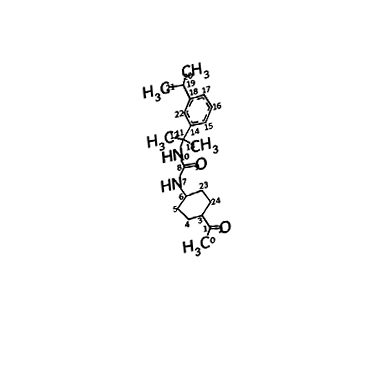 CC(=O)C1CCC(NC(=O)NC(C)(C)c2cccc(C(C)C)c2)CC1